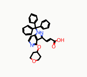 O=C(O)C=Cc1nn(C(c2ccccc2)(c2ccccc2)c2ccccc2)c2ccnc(OC3CCOCC3)c12